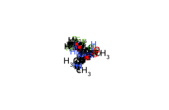 Cc1cnc(C)c(-c2ccc3c(=O)n(C4=CC=C(Cl)C5C(NS(C)(=O)=O)=NN(C)C45)c([C@H](Cc4cc(F)cc(F)c4)NC(=O)Cn4nc(C(F)F)c5c4C(F)(F)[C@@H]4C[C@H]54)nc3c2)n1